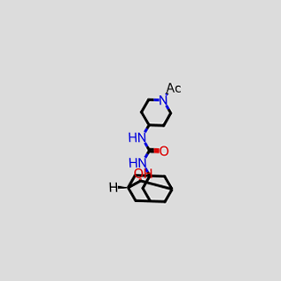 CC(=O)N1CCC(NC(=O)NC23CC4CC(C2)C(O)[C@H](C4)C3)CC1